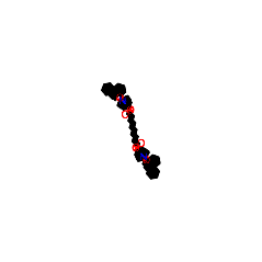 CC(CON1C(C)(C)CC(OC(=O)CCCCCCCCC(=O)OC2CC(C)(C)N(OCC(C)(c3ccccc3)c3ccccc3)C(C)(C)C2)CC1(C)C)(c1ccccc1)c1ccccc1